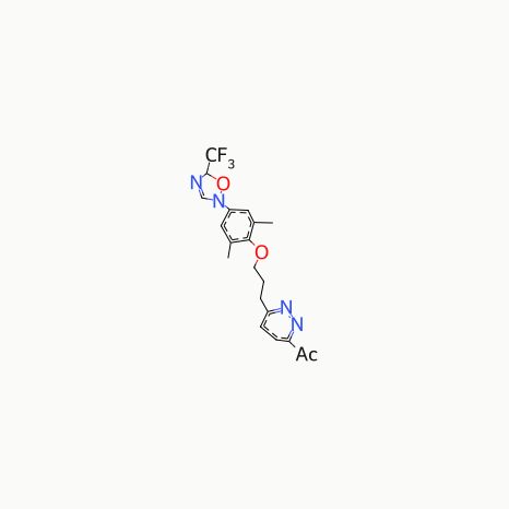 CC(=O)c1ccc(CCCOc2c(C)cc(N3C=NC(C(F)(F)F)O3)cc2C)nn1